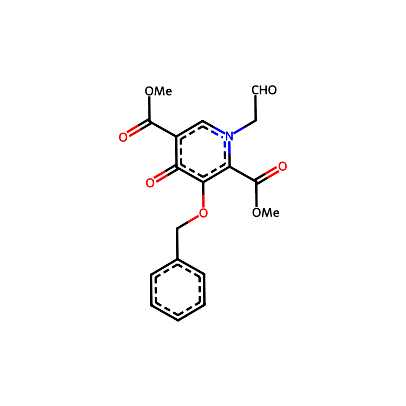 COC(=O)c1cn(CC=O)c(C(=O)OC)c(OCc2ccccc2)c1=O